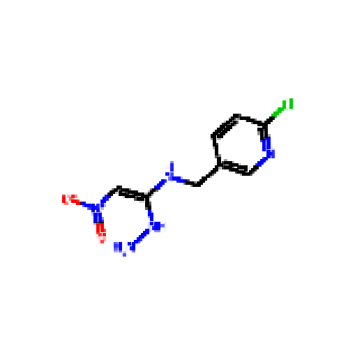 NNC(=C[N+](=O)[O-])NCc1ccc(Cl)nc1